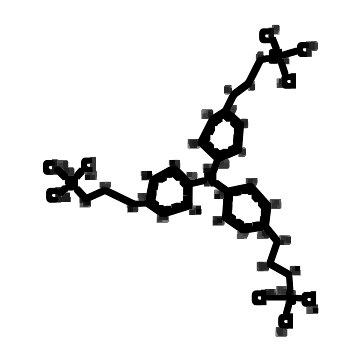 Cl[Si](Cl)(Cl)CCCc1ccc(N(c2ccc(CCC[Si](Cl)(Cl)Cl)cc2)c2ccc(CCCS(Cl)(Cl)Cl)cc2)cc1